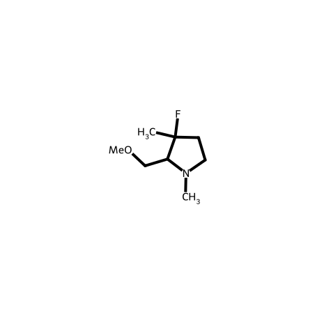 COCC1N(C)CCC1(C)F